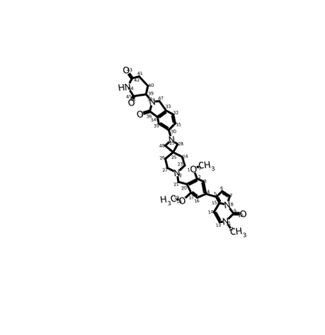 COc1cc(-c2ccn3c(=O)n(C)ccc23)cc(OC)c1CN1CCC2(CC1)CN(c1ccc3c(c1)C(=O)N(C1CCC(=O)NC1=O)C3)C2